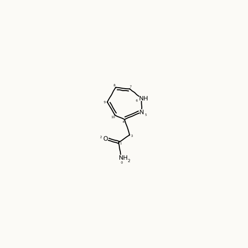 NC(=O)CC1=NNC=CC=C1